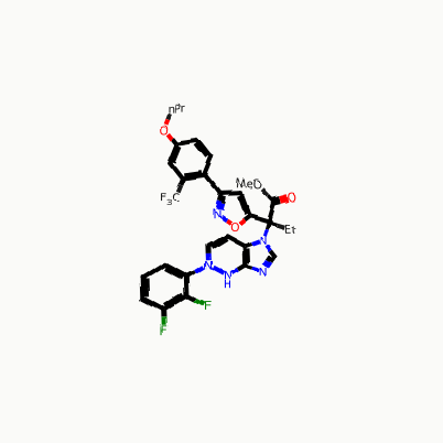 CCCOc1ccc(-c2cc(C(CC)(C(=O)OC)n3cnc4c3C=CN(c3cccc(F)c3F)N4)on2)c(C(F)(F)F)c1